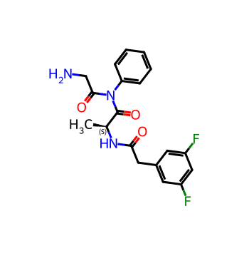 C[C@H](NC(=O)Cc1cc(F)cc(F)c1)C(=O)N(C(=O)CN)c1ccccc1